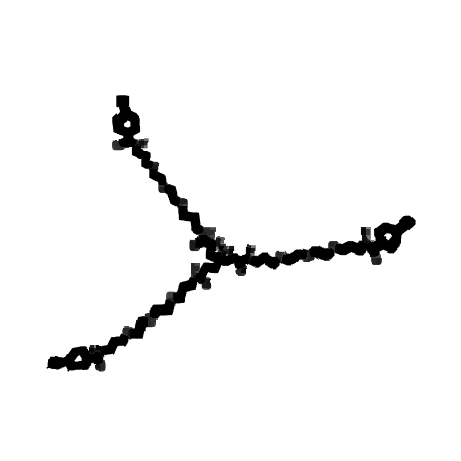 C#CC1CCC(C(=O)NCCCOCCOCCOCCCNC(=O)CCC(CCC(=O)NCCCOCCOCCOCCCNC(=O)C2CCC(C#C)CC2)(CCC(=O)NCCCOCCOCCOCCCNC(=O)C2CCC(C#C)CC2)NC(=O)O)CC1